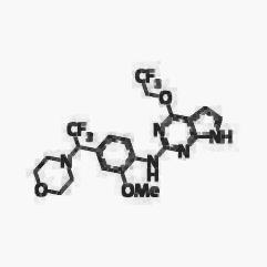 COc1cc(C(N2CCOCC2)C(F)(F)F)ccc1Nc1nc(OCC(F)(F)F)c2cc[nH]c2n1